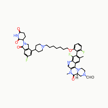 Cc1cc2c3c(cnc2c(F)c1-c1c(F)cccc1OCCCCCCCN1CCC(c2cc(F)cc4c2CN(C2CCC(=O)NC2=O)C4=O)CC1)N(C)C(=O)[C@H]1CN(C=O)CCN31